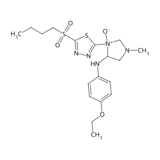 CCCCS(=O)(=O)c1nnc([N+]2([O-])CN(C)CC2Nc2ccc(OCC)cc2)s1